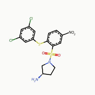 N[C@@H]1CCN(S(=O)(=O)c2cc([N+](=O)[O-])ccc2Sc2cc(Cl)cc(Cl)c2)C1